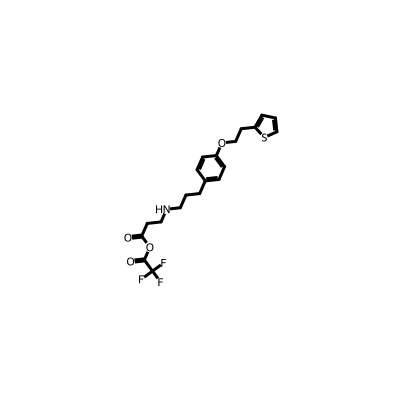 O=C(CCNCCCc1ccc(OCCc2cccs2)cc1)OC(=O)C(F)(F)F